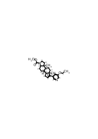 CCOc1cncc(C2=CC[C@H]3[C@@H]4CCC5N(C(=O)OC)CC[C@]5(C)C4CC[C@]23C)c1